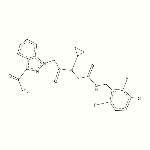 NC(=O)c1nn(CC(=O)N(CC(=O)NCc2c(F)ccc(Cl)c2F)C2CC2)c2ccccc12